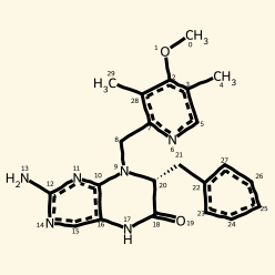 COc1c(C)cnc(CN2c3nc(N)ncc3NC(=O)[C@H]2Cc2ccccc2)c1C